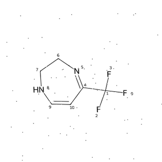 FC(F)(F)C1=NCCNC=C1